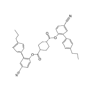 CCCc1ccc(-c2cc(C#N)ccc2OC(=O)C2CCC(C(=O)Oc3ccc(C#N)cc3-c3ccc(CCC)cc3)CC2)cc1